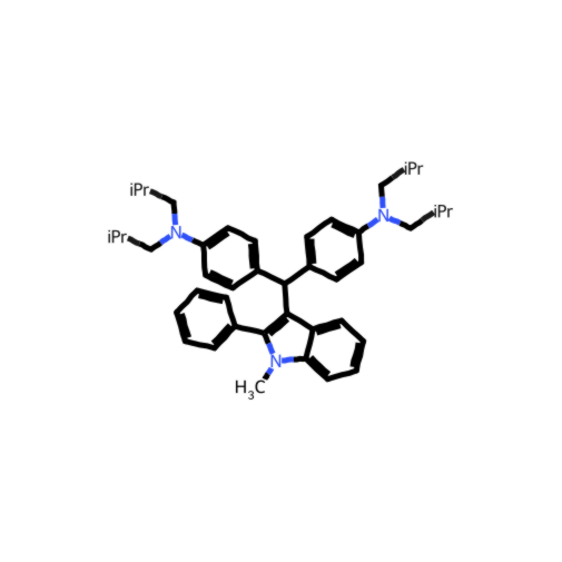 CC(C)CN(CC(C)C)c1ccc(C(c2ccc(N(CC(C)C)CC(C)C)cc2)c2c(-c3ccccc3)n(C)c3ccccc23)cc1